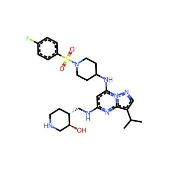 CC(C)c1cnn2c(NC3CCN(S(=O)(=O)c4ccc(F)cc4)CC3)cc(NC[C@H]3CCNC[C@@H]3O)nc12